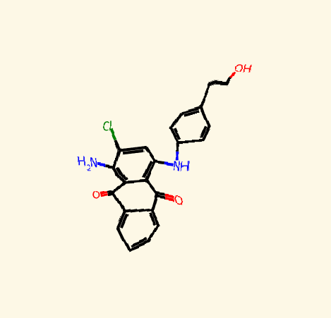 Nc1c(Cl)cc(Nc2ccc(CCO)cc2)c2c1C(=O)c1ccccc1C2=O